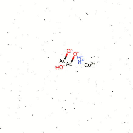 CC(=O)[O-].CC(=O)[O-].[Co+2].[NH4+].[OH-]